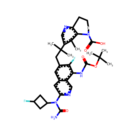 Cc1c(C(C)(C)Cc2cc3cc(N(C(N)=O)C4CC(F)C4)ncc3c(NC(=O)OC(C)(C)C)c2F)cnc2c1N(C(=O)O)CCC2